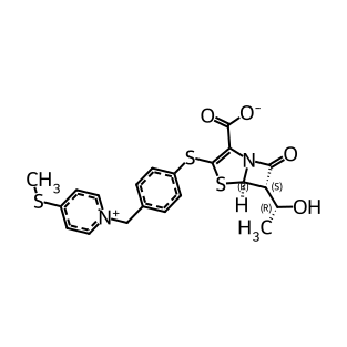 CSc1cc[n+](Cc2ccc(SC3=C(C(=O)[O-])N4C(=O)[C@H]([C@@H](C)O)[C@H]4S3)cc2)cc1